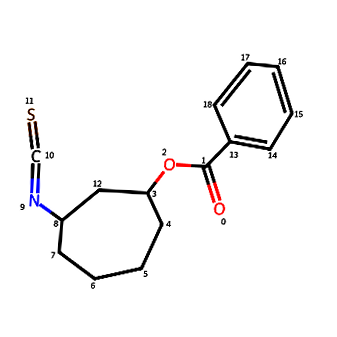 O=C(OC1CCCCC(N=C=S)C1)c1ccccc1